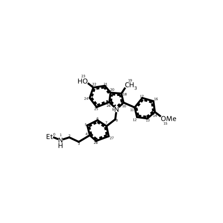 CCNCCc1ccc(Cn2c(-c3ccc(OC)cc3)c(C)c3cc(O)ccc32)cc1